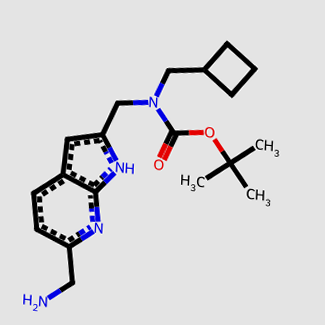 CC(C)(C)OC(=O)N(Cc1cc2ccc(CN)nc2[nH]1)CC1CCC1